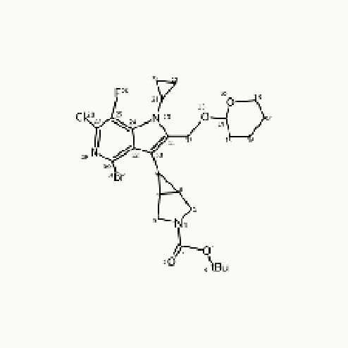 CC(C)(C)OC(=O)N1CC2C(C1)C2c1c(COC2CCCCO2)n(C2CC2)c2c(F)c(Cl)nc(Br)c12